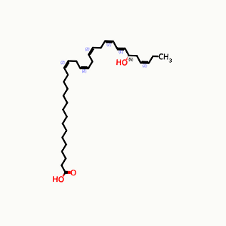 CC/C=C\C[C@H](O)/C=C/C=C\C/C=C\C/C=C\C/C=C\CCCCCCCCCCCCCCC(=O)O